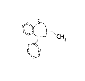 CC[C@H]1CSc2ccccc2[C@@H](c2ccccc2)C1